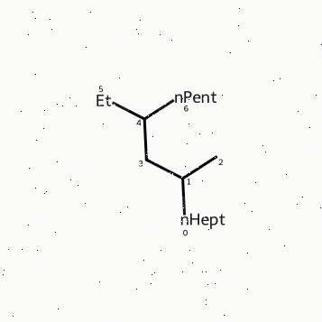 CCCCCCCC(C)CC(CC)CCCCC